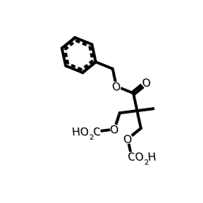 CC(COC(=O)O)(COC(=O)O)C(=O)OCc1ccccc1